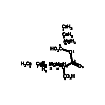 O=C(O)OC(=O)OC(=O)O.[CaH2].[CaH2].[CaH2].[CaH2].[MgH2].[MgH2].[MgH2].[MgH2]